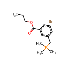 CCCOC(=O)c1cccc(C[P+](C)(C)C)c1.[Br-]